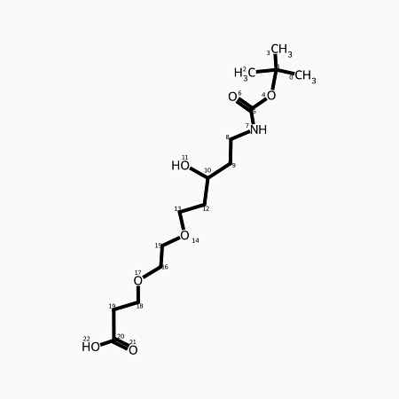 CC(C)(C)OC(=O)NCCC(O)CCOCCOCCC(=O)O